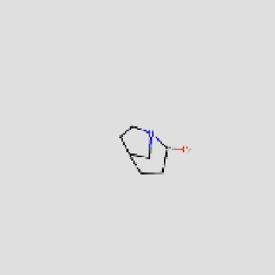 [O]C1CCC2CCN1C2